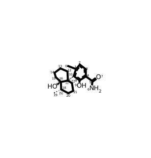 Cc1ccc(C(N)=O)c(O)c1[C@@]12CCCC[C@@]1(O)[C@@H](C)CCC2